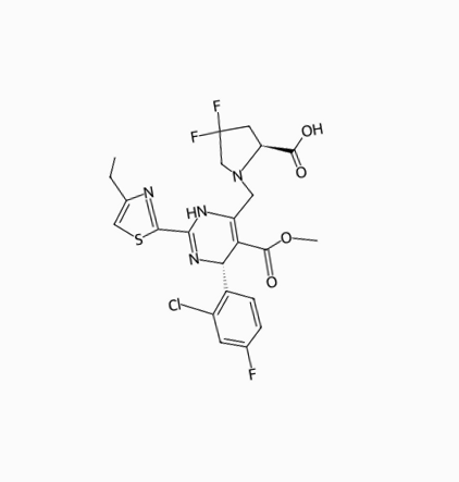 CCc1csc(C2=N[C@@H](c3ccc(F)cc3Cl)C(C(=O)OC)=C(CN3CC(F)(F)C[C@H]3C(=O)O)N2)n1